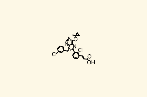 CC1(Oc2ncnc3c2nc(-c2cccc(/C=C/C(=O)O)c2Cl)n3Cc2cccc(Cl)c2)CC1